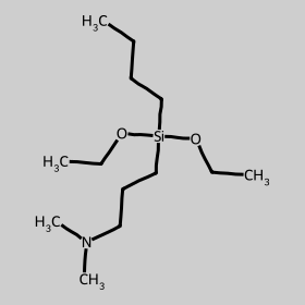 CCCC[Si](CCCN(C)C)(OCC)OCC